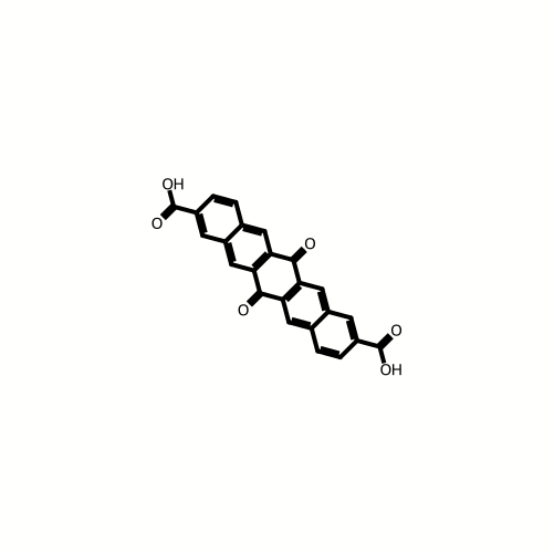 O=C(O)c1ccc2cc3c(cc2c1)C(=O)c1cc2ccc(C(=O)O)cc2cc1C3=O